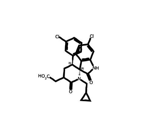 O=C(O)CC1C[C@@H](c2cccc(Cl)c2)[C@@]2(C(=O)Nc3cc(Cl)ccc32)N(CC2CC2)C1=O